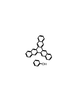 Oc1ccccc1.c1ccc2cc3c(cc2c1)c1cc2ccccc2cc1c1cc2ccccc2cc31